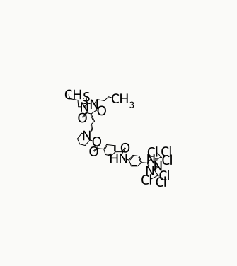 CCCCN1C(=O)C(=CC=CN2CCCCC2OC(=O)c2ccc(C(=O)Nc3ccc(-c4nc(C(Cl)(Cl)Cl)nc(C(Cl)(Cl)Cl)n4)cc3)cc2)C(=O)N(CCCC)C1=S